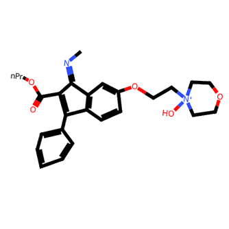 CCCOC(=O)C1=C(c2ccccc2)c2ccc(OCC[N+]3(O)CCOCC3)cc2/C1=N\C